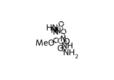 COc1ccc2c(c1)C[C@@H](NC(=O)C(C)(C)N)C(=O)N(Cc1ccc(-c3ccccc3-c3nnn[nH]3)cc1)C2